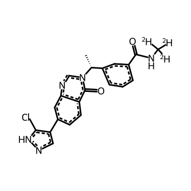 [2H]C([2H])([2H])NC(=O)c1cccc([C@@H](C)n2cnc3cc(-c4cn[nH]c4Cl)ccc3c2=O)c1